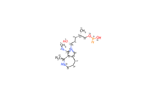 C=Nc1c2c(cn1[C@H](O)CC[C@H](C)COPO)CCCNC2=C